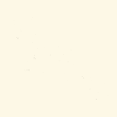 CC(C)c1c(-c2cc(Cl)c(=O)n(C)c2)n(C(=O)O)c2ccc(C3CCN(C(=O)OC(C)(C)C)CC3)c(C(C)(C)C)c12